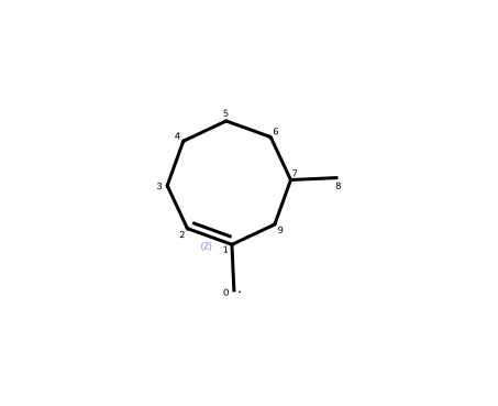 [CH2]/C1=C/CCCCC(C)C1